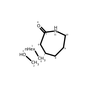 CCCCCCC.CO.O=C1CCCCCN1